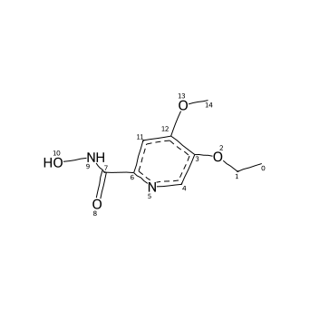 CCOc1cnc(C(=O)NO)cc1OC